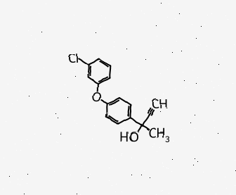 C#CC(C)(O)c1ccc(Oc2cccc(Cl)c2)cc1